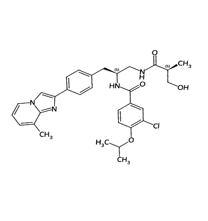 Cc1cccn2cc(-c3ccc(C[C@@H](CNC(=O)[C@@H](C)CO)NC(=O)c4ccc(OC(C)C)c(Cl)c4)cc3)nc12